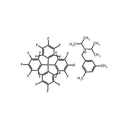 Cc1cc(C)cc(C[NH+](C(C)C)C(C)C)c1.Fc1c(F)c(F)c([B-](c2c(F)c(F)c(F)c(F)c2F)(c2c(F)c(F)c(F)c(F)c2F)c2c(F)c(F)c(F)c(F)c2F)c(F)c1F